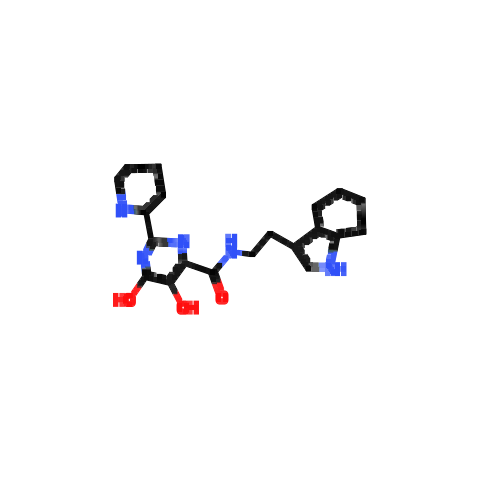 O=C(NCCc1c[nH]c2ccccc12)c1nc(-c2ccccn2)nc(O)c1O